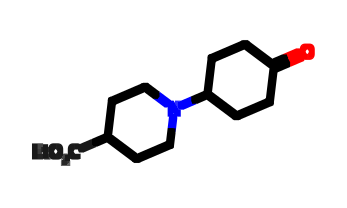 CCOC(=O)C1CCN(C2CCC(=O)CC2)CC1